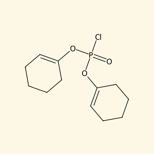 O=P(Cl)(OC1=CCCCC1)OC1=CCCCC1